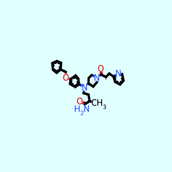 CC(CCN(c1ccc(OCc2ccccc2)cc1)C1CCN(C(=O)[CH]Cc2ccccn2)CC1)C(N)=O